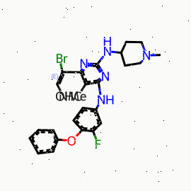 CN/C=C(/Br)c1nc(NC2CCN(C)CC2)nc(Nc2ccc(Oc3ccccc3)c(F)c2)c1C=O